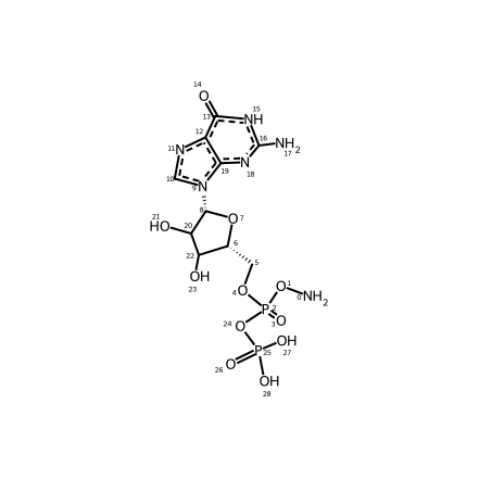 NOP(=O)(OC[C@H]1O[C@@H](n2cnc3c(=O)[nH]c(N)nc32)C(O)C1O)OP(=O)(O)O